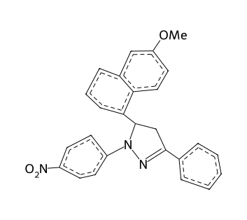 COc1ccc2c(C3CC(c4ccccc4)=NN3c3ccc([N+](=O)[O-])cc3)cccc2c1